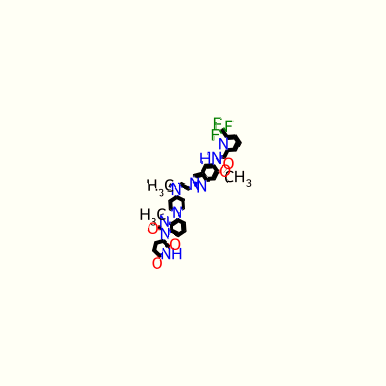 COc1cc2nn(CCN(C)C3CCN(c4cccc5c4n(C)c(=O)n5C4CCC(=O)NC4=O)CC3)cc2cc1NC(=O)c1cccc(C(F)(F)F)n1